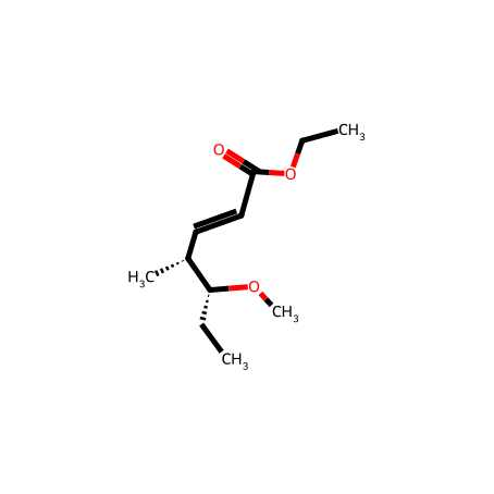 CCOC(=O)/C=C/[C@@H](C)[C@@H](CC)OC